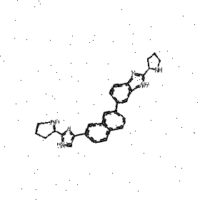 c1cc2ccc(-c3c[nH]c(C4CCCN4)n3)cc2cc1-c1ccc2nc(C3CCCN3)[nH]c2c1